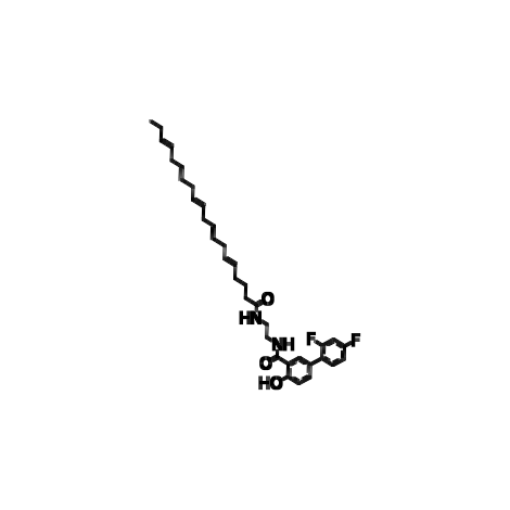 CCC=CCC=CCC=CCC=CCC=CCCCC(=O)NCCNC(=O)c1cc(-c2ccc(F)cc2F)ccc1O